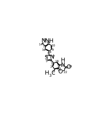 Cc1cc(-c2csc(-c3ccc4[nH]ncc4c3)n2)cc2c1OCC(=O)N2